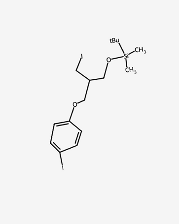 CC(C)(C)[Si](C)(C)OCC(CI)COc1ccc(I)cc1